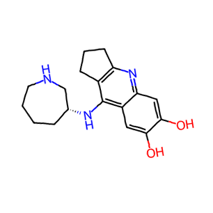 Oc1cc2nc3c(c(N[C@@H]4CCCCNC4)c2cc1O)CCC3